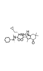 Cc1c(C(=O)N[C@@H](CCC2CC2)C(=O)N(C)[C@H](C)c2ccccc2)[nH]c2c1C(=O)CC(C)(C)C2